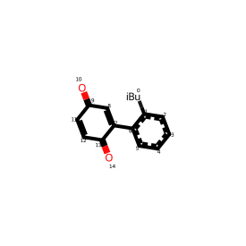 CCC(C)c1ccccc1C1=CC(=O)C=CC1=O